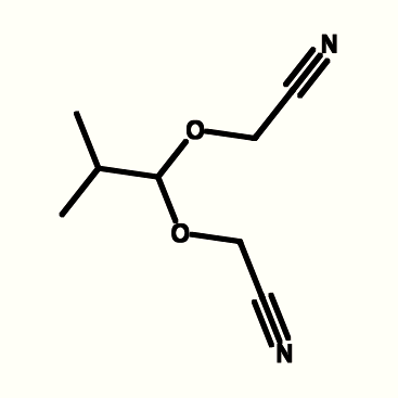 CC(C)C(OCC#N)OCC#N